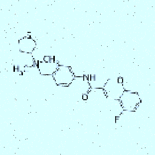 C[N+](C)(Cc1ccc(NC(=O)C2=Cc3c(F)cccc3OC2)cc1)C1CCSC1